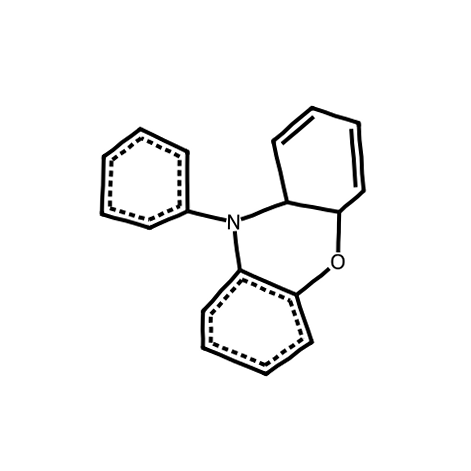 C1=CC2Oc3ccccc3N(c3ccccc3)C2C=C1